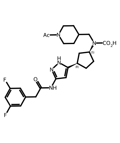 CC(=O)N1CCC(CN(C(=O)O)[C@H]2CC[C@@H](c3cc(NC(=O)Cc4cc(F)cc(F)c4)n[nH]3)C2)CC1